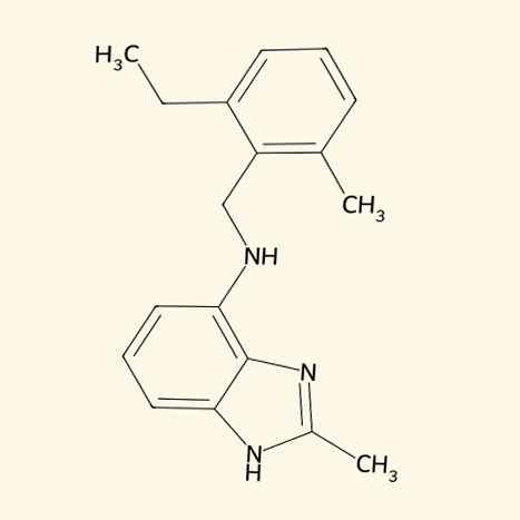 CCc1cccc(C)c1CNc1cccc2[nH]c(C)nc12